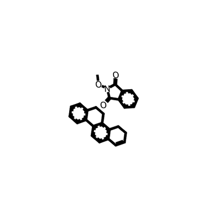 C1=Cc2ccc3c(c2CC1)CCc1ccccc1-3.CON1C(=O)c2ccccc2C1=O